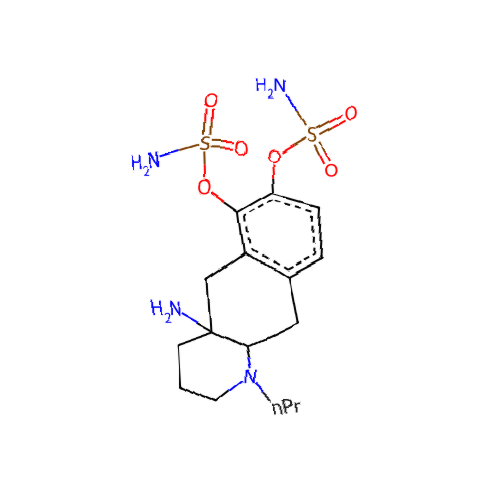 CCCN1CCCC2(N)Cc3c(ccc(OS(N)(=O)=O)c3OS(N)(=O)=O)CC12